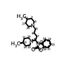 CC1CCN(CCCC(N2CCC(C)CC2)n2c(=O)oc3ccccc32)CC1